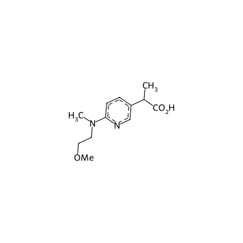 COCCN(C)c1ccc(C(C)C(=O)O)cn1